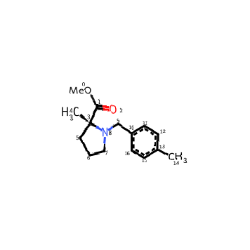 COC(=O)[C@@]1(C)CCCN1Cc1ccc(C)cc1